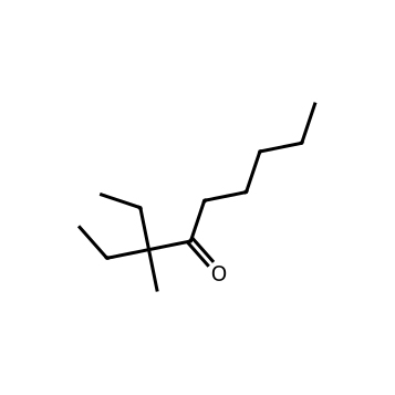 CCCCCC(=O)C(C)(CC)CC